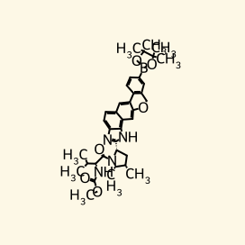 COC(=O)N[C@H](C(=O)N1[C@H](C)[C@H](C)C[C@H]1c1nc2ccc3cc4c(cc3c2[nH]1)OCc1cc(B2OC(C)(C)C(C)(C)O2)ccc1-4)C(C)C